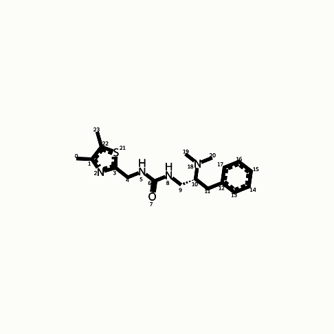 Cc1nc(CNC(=O)NC[C@@H](Cc2ccccc2)N(C)C)sc1C